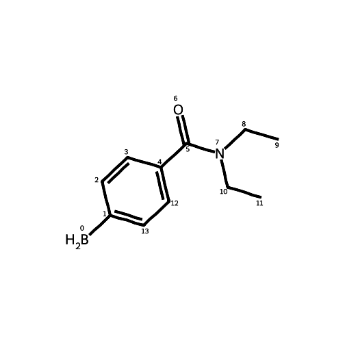 Bc1ccc(C(=O)N(CC)CC)cc1